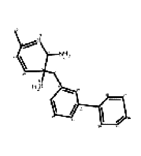 CC1=NC(N)C(N)(Cc2cccc(-c3ccccc3)c2)C=C1